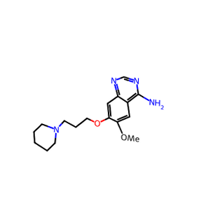 COc1cc2c(N)ncnc2cc1OCCCN1CCCCC1